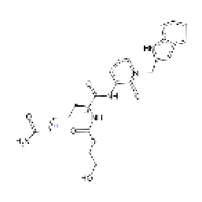 NC(=O)/C=C/CC[C@H](NC(=O)OCCO)C(=O)Nc1cccn(Cc2cc3ccccc3[nH]2)c1=O